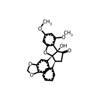 COc1cc(OC)c2c(c1)O[C@@]1(c3ccc4c(c3)OCO4)[C@H](c3ccccc3)CC(=O)[C@@]21O